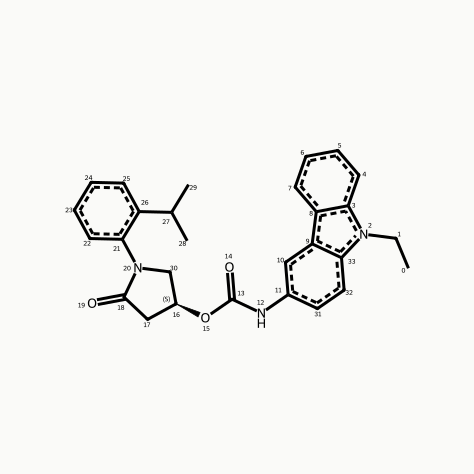 CCn1c2ccccc2c2cc(NC(=O)O[C@H]3CC(=O)N(c4ccccc4C(C)C)C3)ccc21